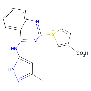 Cc1cc(Nc2nc([SH]3C=CC(C(=O)O)=C3)nc3ccccc23)[nH]n1